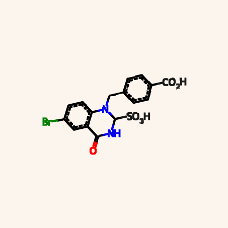 O=C(O)c1ccc(CN2c3ccc(Br)cc3C(=O)NC2S(=O)(=O)O)cc1